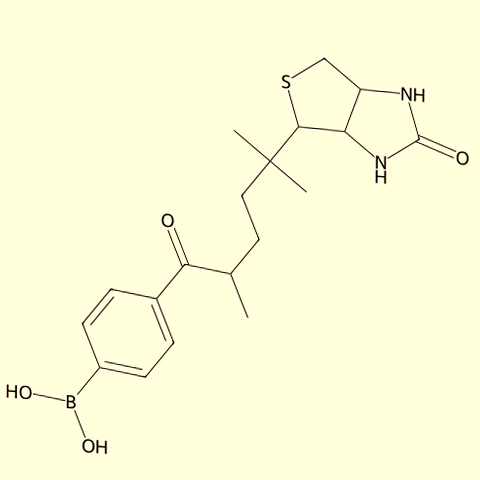 CC(CCC(C)(C)C1SCC2NC(=O)NC21)C(=O)c1ccc(B(O)O)cc1